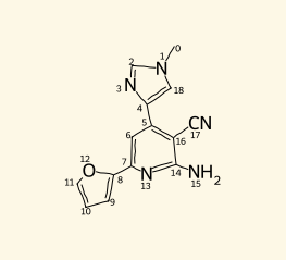 Cn1cnc(-c2cc(-c3ccco3)nc(N)c2C#N)c1